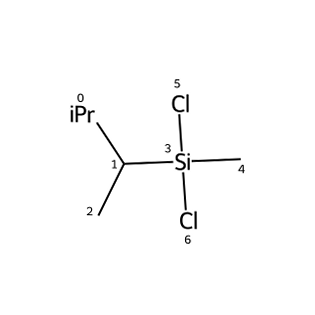 CC(C)C(C)[Si](C)(Cl)Cl